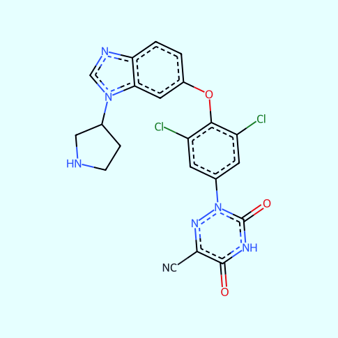 N#Cc1nn(-c2cc(Cl)c(Oc3ccc4ncn(C5CCNC5)c4c3)c(Cl)c2)c(=O)[nH]c1=O